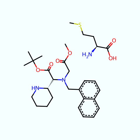 COC(=O)CN(Cc1cccc2ccccc12)C(C(=O)OC(C)(C)C)[C@@H]1CCCCN1.CSCC[C@H](N)C(=O)O